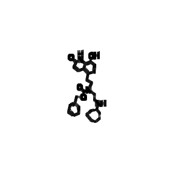 O=C(OCc1ccccc1)N(CCNC1CCCCCC1)CCc1ccc(O)c2[nH]c(=O)ccc12